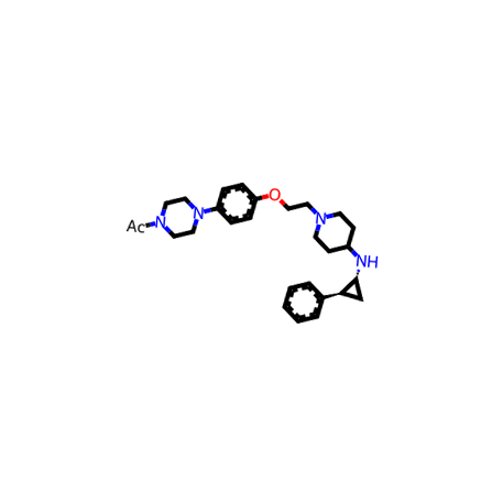 CC(=O)N1CCN(c2ccc(OCCN3CCC(N[C@@H]4C[C@H]4c4ccccc4)CC3)cc2)CC1